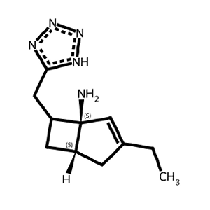 CCC1=C[C@@]2(N)C(Cc3nnn[nH]3)C[C@H]2C1